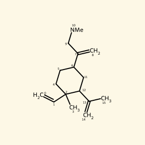 C=CC1(C)CCC(C(=C)CNC)CC1C(=C)C